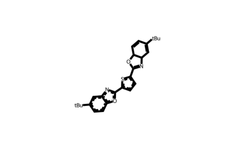 CC(C)(C)C1=CC2N=C(c3ccc(-c4nc5cc(C(C)(C)C)ccc5o4)s3)OC2C=C1